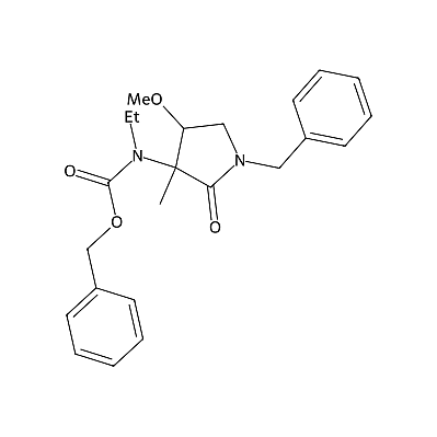 CCN(C(=O)OCc1ccccc1)C1(C)C(=O)N(Cc2ccccc2)CC1OC